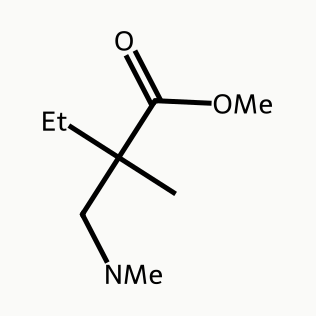 CCC(C)(CNC)C(=O)OC